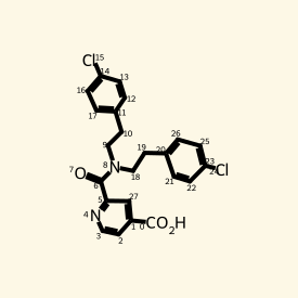 O=C(O)c1ccnc(C(=O)N(CCc2ccc(Cl)cc2)CCc2ccc(Cl)cc2)c1